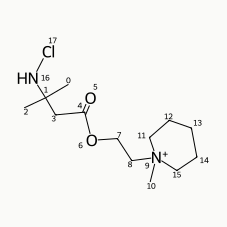 CC(C)(CC(=O)OCC[N+]1(C)CCCCC1)NCl